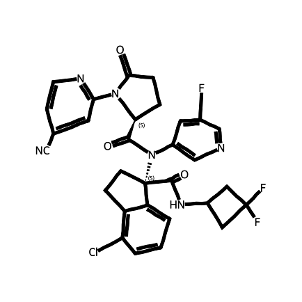 N#Cc1ccnc(N2C(=O)CC[C@H]2C(=O)N(c2cncc(F)c2)[C@@]2(C(=O)NC3CC(F)(F)C3)CCc3c(Cl)cccc32)c1